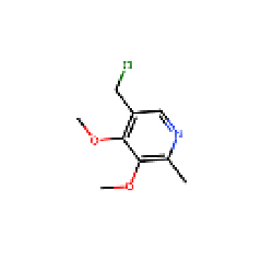 COc1c(CCl)cnc(C)c1OC